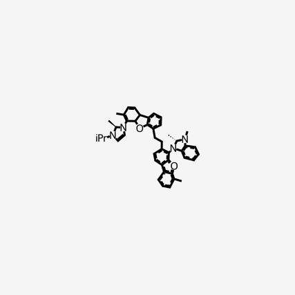 CC1=C(N2C=CN(C(C)C)[C@H]2C)C2Oc3c(CCc4ccc5c(oc6c(C)cccc65)c4N4c5ccccc5N(C)[C@H]4C)cccc3C2C=C1